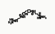 N=C(N)NCCCCC(=O)NC1=CC2Sc3cc(NC(=O)CCCCNC(=N)N)ccc3CC2C=C1